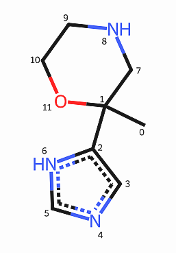 CC1(c2cnc[nH]2)CNCCO1